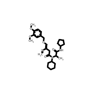 C=N/C(=C\OCc1ccc(OC)c(OC)c1)CC(=O)N(C1CCCCC1)C(C)C(=O)NC1CCCC1